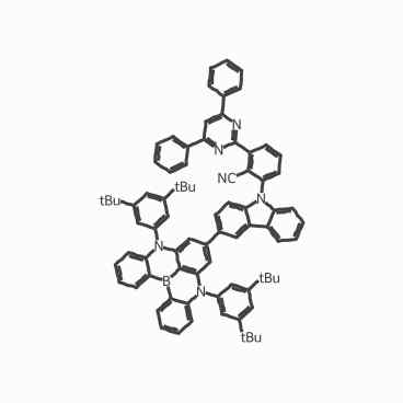 CC(C)(C)c1cc(N2c3ccccc3B3c4ccccc4N(c4cc(C(C)(C)C)cc(C(C)(C)C)c4)c4cc(-c5ccc6c(c5)c5ccccc5n6-c5cccc(-c6nc(-c7ccccc7)cc(-c7ccccc7)n6)c5C#N)cc2c43)cc(C(C)(C)C)c1